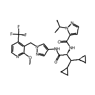 COc1nccc(C(F)(F)F)c1Cn1cc(NC(=O)[C@@H](NC(=O)c2ccnn2C(C)C)C(C2CC2)C2CC2)cn1